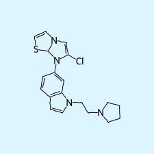 ClC1=CN2C=CSC2N1c1ccc2ccn(CCN3CCCC3)c2c1